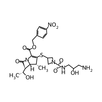 C[C@@H](O)[C@H]1C(=O)N2C(C(=O)OCc3ccc([N+](=O)[O-])cc3)=C(SC3CN(S(=O)(=O)NCC(O)CN)C3)[C@H](C)[C@H]12